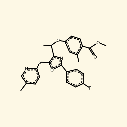 COC(=O)c1ccc(OC(C)c2nc(-c3ccc(F)cc3)oc2Sc2ccc(C)cn2)cc1C